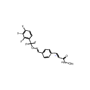 O=C(/C=C/c1ccc(C=NOC(F)(F)c2ccc(F)c(F)c2F)cc1)NO